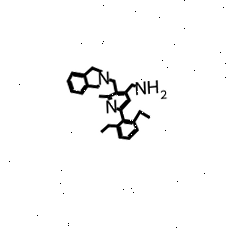 CCc1cccc(CC)c1-c1cc(CN)c(CN2CCc3ccccc3C2)c(C)n1